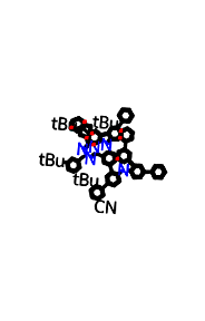 CC(C)(C)c1cc(-c2nc(-c3cc(C(C)(C)C)cc(C(C)(C)C)c3)nc(-c3cc(-c4cc(-c5cccc(C#N)c5)ccc4-n4c5ccc(-c6ccccc6)cc5c5cc(-c6ccccc6)ccc54)ccc3-n3c4ccc(-c5ccccc5)cc4c4cc(-c5ccccc5)ccc43)n2)cc(C(C)(C)C)c1